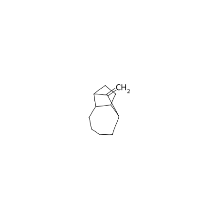 C=C1C2CCC3C1CCCCC23